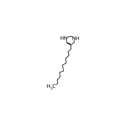 CCCCCCCCCCCCC1=CNCNC1